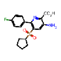 Nc1cc(S(=O)(=O)C2CCCC2)c(-c2ccc(F)cc2)nc1C(=O)O